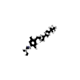 CCN(C)/C=N/c1cc(C)c(Cc2nc(-c3cnc(C(C)(C)C(F)(F)F)cn3)cs2)cc1C